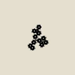 c1ccc(-n2c3ccccc3c3c(-c4cccc(N(c5ccc(-c6cccc7ccccc67)cc5)c5ccc([Si](c6ccccc6)(c6ccccc6)c6ccccc6)cc5)c4)cccc32)cc1